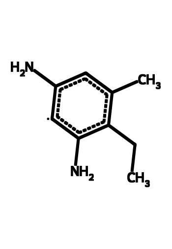 CCc1c(N)[c]c(N)cc1C